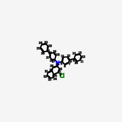 Clc1cc(N(c2ccc(-c3ccccc3)cc2)c2ccc(-c3ccccc3)cc2)cc2ccccc12